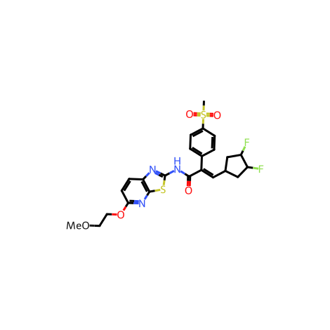 COCCOc1ccc2nc(NC(=O)/C(=C/C3CC(F)C(F)C3)c3ccc(S(C)(=O)=O)cc3)sc2n1